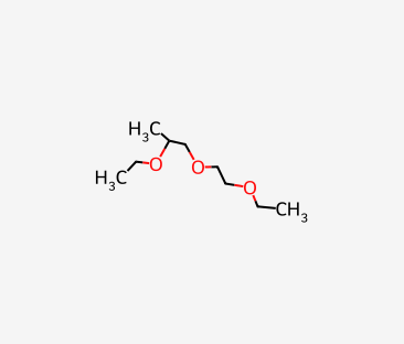 CCOCCOCC(C)OCC